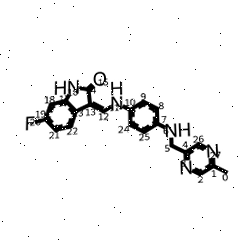 Cc1cnc(CNc2ccc(NC=C3C(=O)Nc4cc(F)ccc43)cc2)cn1